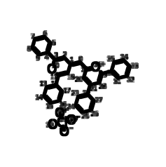 C(=C1C=C(c2ccccc2)OC(c2ccccc2)=C1)c1cc(-c2ccccc2)cc(-c2ccccc2)[o+]1.[O-][Cl+3]([O-])([O-])[O-]